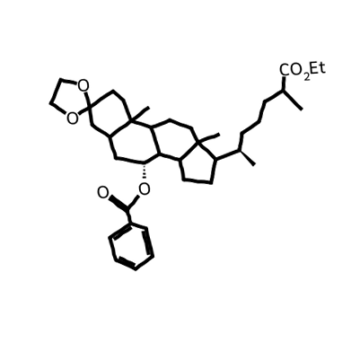 CCOC(=O)C(C)CCC[C@@H](C)C1CCC2C3C(CCC21C)C1(C)CCC2(CC1C[C@H]3OC(=O)c1ccccc1)OCCO2